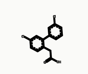 O=C(O)Cc1ccc(Cl)cc1-c1cccc(Cl)c1